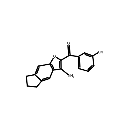 N#Cc1cccc(C(=O)c2oc3cc4c(cc3c2N)CCC4)c1